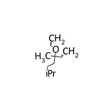 C=COC(C)(C=C)CCC(C)C